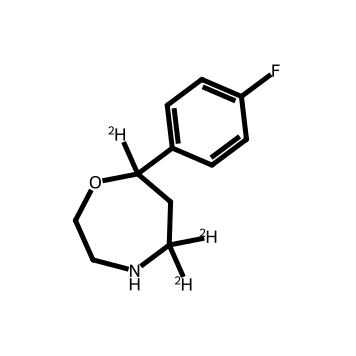 [2H]C1([2H])CC([2H])(c2ccc(F)cc2)OCCN1